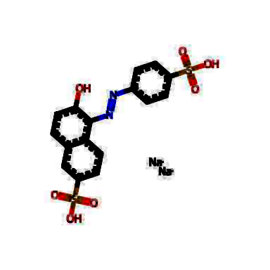 O=S(=O)(O)c1ccc(N=Nc2c(O)ccc3cc(S(=O)(=O)O)ccc23)cc1.[Na].[Na]